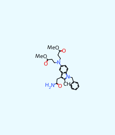 COC(=O)CCN(CCC(=O)OC)c1ccc2c(c1)c(CC(N)=O)c(C)n2Cc1ccccc1